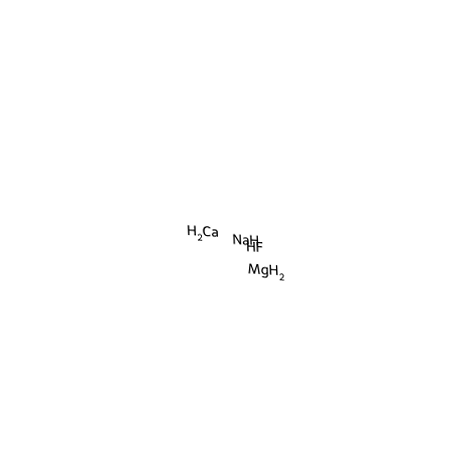 F.[CaH2].[MgH2].[NaH]